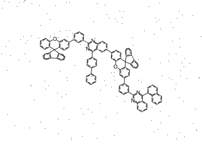 c1ccc(-c2ccc(-c3nc(-c4cccc(-c5ccc6c(c5)Oc5ccccc5C65c6ccccc6-c6ccccc65)c4)nc4ccc(-c5ccc6c(c5)Oc5cc(-c7cccc(-c8nc(-c9cccc%10ccccc9%10)c9ccccc9n8)c7)ccc5C65c6ccccc6-c6ccccc65)cc34)cc2)cc1